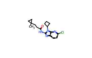 CC1(CCC(=O)Nc2nc3ccc(Cl)nc3n2C2CCC2)CC1